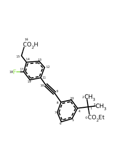 CCOC(=O)C(C)(C)c1cccc(C#Cc2ccc(CC(=O)O)c(F)c2)c1